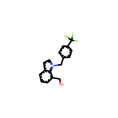 OCc1cccc2ccn(Cc3ccc(C(F)(F)F)cc3)c12